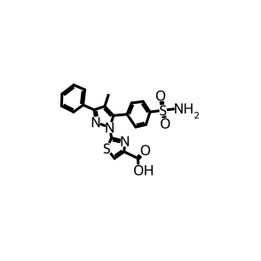 Cc1c(-c2ccccc2)nn(-c2nc(C(=O)O)cs2)c1-c1ccc(S(N)(=O)=O)cc1